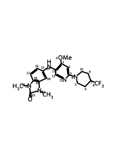 COc1cc(N2CCC(C(F)(F)F)CC2)ncc1Nc1ccc2c(c1)n(C)c(=O)n2C